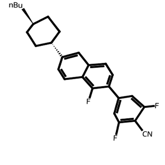 CCCC[C@H]1CC[C@H](c2ccc3c(F)c(-c4cc(F)c(C#N)c(F)c4)ccc3c2)CC1